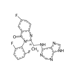 C[C@@H](Nc1ncnc2[nH]cnc12)c1nc2ccc(F)cc2c(=O)n1-c1c(F)cccc1F